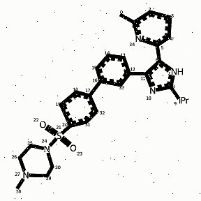 Cc1cccc(-c2[nH]c(C(C)C)nc2-c2cccc(-c3ccc(S(=O)(=O)N4CCN(C)CC4)cc3)c2)n1